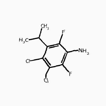 CC(C)c1c(F)c(N)c(F)c(Cl)c1Cl